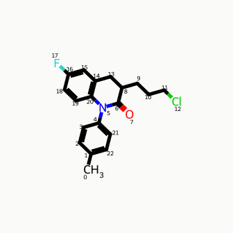 Cc1ccc(N2C(=O)C(CCCCl)Cc3cc(F)ccc32)cc1